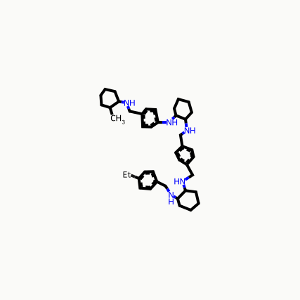 CCc1ccc(CNC2CCCCC2NCc2ccc(CNC3CCCCC3Nc3ccc(CNC4CCCCC4C)cc3)cc2)cc1